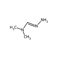 CN(C)C=NN